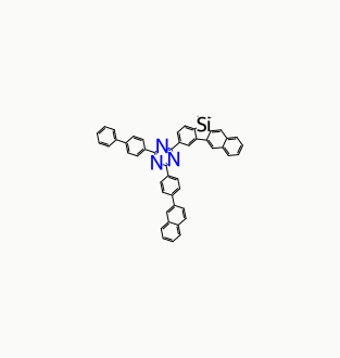 C[Si]1(C)c2ccc(-c3nc(-c4ccc(-c5ccccc5)cc4)nc(-c4ccc(-c5ccc6ccccc6c5)cc4)n3)cc2-c2cc3ccccc3cc21